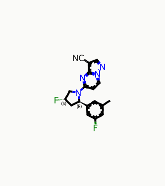 Cc1cc(F)cc([C@H]2C[C@H](F)CN2c2ccn3ncc(C#N)c3n2)c1